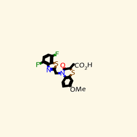 COc1ccc2c(c1)SC(CC(=O)O)C(=O)N2Cc1nc2c(F)ccc(F)c2s1